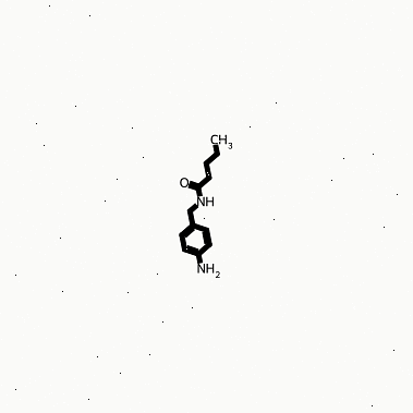 CCCCC(=O)NCc1ccc(N)cc1